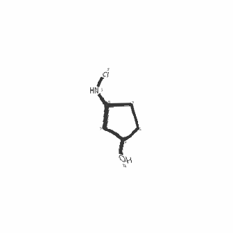 OC1CCC(NCl)C1